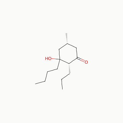 CCCCC1(O)C[C@H](C)CC(=O)[C@@H]1CCC